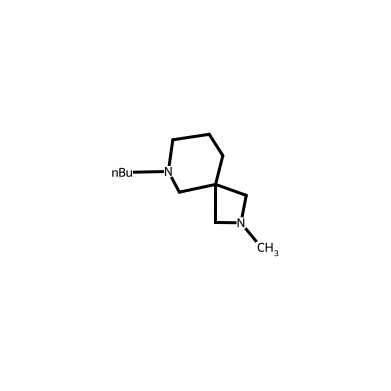 CCCCN1CCCC2(CN(C)C2)C1